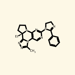 CC[C@@]12CCCN1c1nc(N3CCN=C3c3ccccc3)ncc1-n1c(C)nnc12